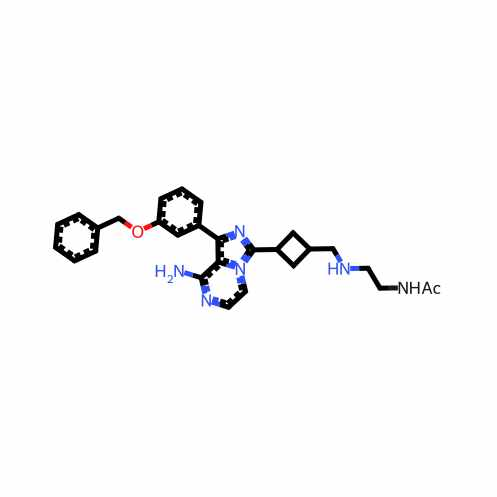 CC(=O)NCCNCC1CC(c2nc(-c3cccc(OCc4ccccc4)c3)c3c(N)nccn23)C1